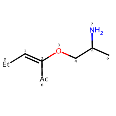 CC/C=C(/OCC(C)N)C(C)=O